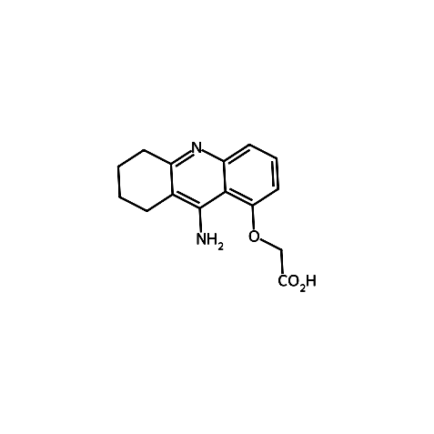 Nc1c2c(nc3cccc(OCC(=O)O)c13)CCCC2